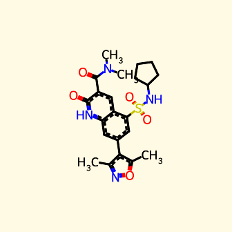 Cc1noc(C)c1-c1cc(S(=O)(=O)NC2CCCC2)c2cc(C(=O)N(C)C)c(=O)[nH]c2c1